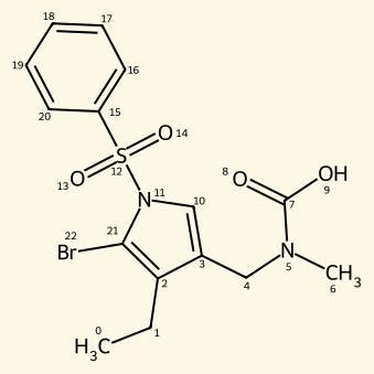 CCc1c(CN(C)C(=O)O)cn(S(=O)(=O)c2ccccc2)c1Br